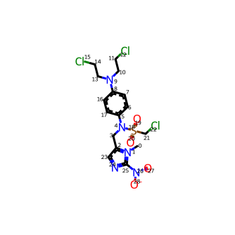 Cn1c(CN(c2ccc(N(CCCl)CCCl)cc2)S(=O)(=O)CCl)cnc1[N+](=O)[O-]